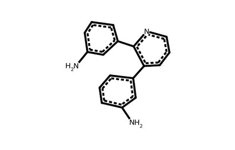 Nc1cccc(-c2cccnc2-c2cccc(N)c2)c1